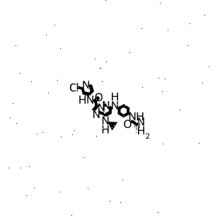 C[C@@H](N)C(=O)NC1CCC(Nc2cc(NC3CC3)c3ncc(C(=O)Nc4ccnc(Cl)c4)n3n2)CC1